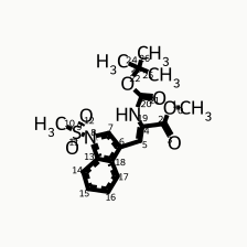 COC(=O)C(=Cc1cn(S(C)(=O)=O)c2ccccc12)NC(=O)OC(C)(C)C